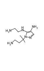 CC(C)(CCN)n1ncc(N)c1NCCN